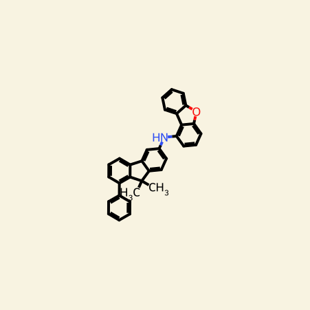 CC1(C)c2ccc(Nc3cccc4oc5ccccc5c34)cc2-c2cccc(-c3ccccc3)c21